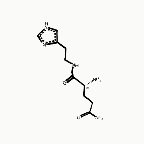 NC(=O)CC[C@@H](N)C(=O)NCCc1c[nH]cn1